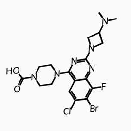 CN(C)C1CN(c2nc(N3CCN(C(=O)O)CC3)c3cc(Cl)c(Br)c(F)c3n2)C1